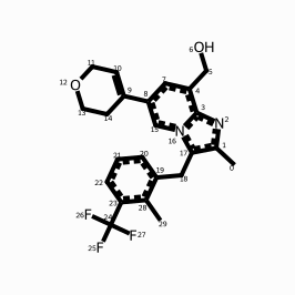 Cc1nc2c(CO)cc(C3=CCOCC3)cn2c1Cc1cccc(C(F)(F)F)c1C